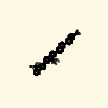 CC1(C)c2ccccc2-c2ccc(-c3ccc4c(c3)C(C)(C)c3cc(-c5ccc6cc(-c7ccc8cc(C9CO9)ccc8c7)ccc6c5)ccc3-4)cc21